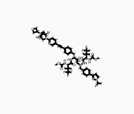 COC(=O)N[C@H](C(=O)N[C@@H](Cc1ccc(C#Cc2ccc(N3C[C@H]4C[C@@H]3CN4C3COC3)nc2)cc1)[C@@H](O)CN(Cc1ccc(-c2ccn(C(F)F)n2)cc1)NC(=O)[C@@H](NC(=O)OC)C(C)(C)C(F)(F)F)C(C)(C)C(F)(F)F